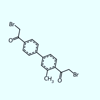 Cc1cc(-c2ccc(C(=O)CBr)cc2)ccc1C(=O)CBr